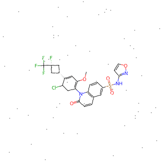 COC1=C(n2c(=O)ccc3cc(S(=O)(=O)Nc4ccon4)ccc32)CC(Cl)C([C@H]2C[C@](F)(C(F)(F)F)C2)=C1